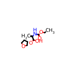 C1CCOC1.C=C(NC(=O)OCC)C(=O)O